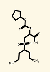 CCCC(CCC)S(=O)(=O)CC(NC(=O)OC1CCCC1)C(=O)O